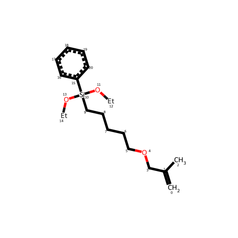 C=C(C)COCCCCC[Si](OCC)(OCC)c1ccccc1